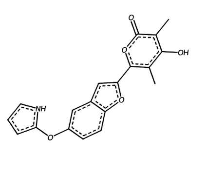 Cc1c(-c2cc3cc(Oc4ccc[nH]4)ccc3o2)oc(=O)c(C)c1O